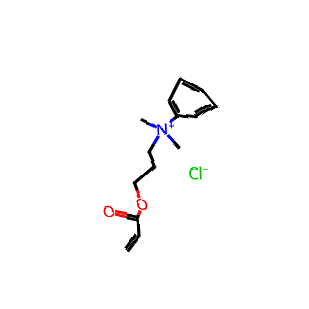 C=CC(=O)OCCC[N+](C)(C)c1ccccc1.[Cl-]